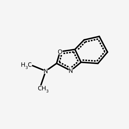 CN(C)c1nc2ccccc2o1